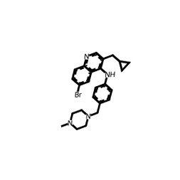 CN1CCN(Cc2ccc(Nc3c(CC4CC4)cnc4ccc(Br)cc34)cc2)CC1